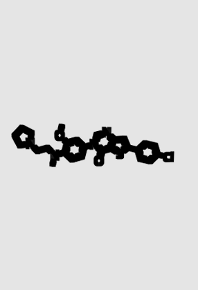 COc1cc(-n2cnc3cc(-c4ccc(Cl)cc4)sc3c2=O)ccc1N(C)CCN1CCCC1